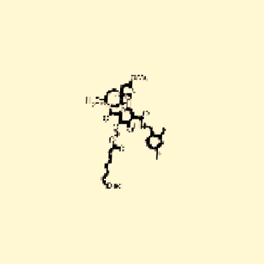 CCCCCCCCCCCCCCCC(=O)OCOc1c2n(cc(C(=O)NCc3ccc(F)cc3F)c1=O)[C@@H]1CN(C2=O)[C@@H](C)CC[C@]12CC(OC)=NO2